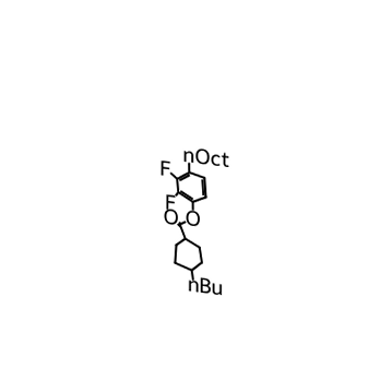 CCCCCCCCc1ccc(OC(=O)C2CCC(CCCC)CC2)c(F)c1F